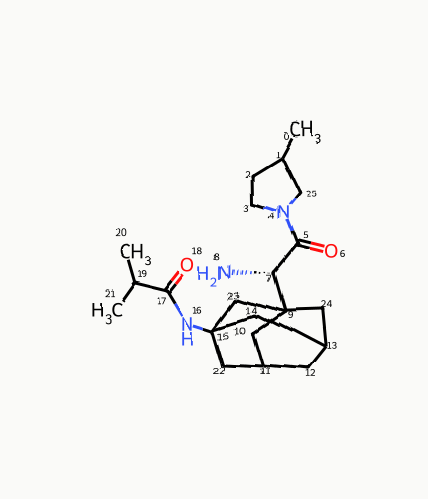 CC1CCN(C(=O)[C@@H](N)C23CC4CC(CC(NC(=O)C(C)C)(C4)C2)C3)C1